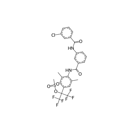 Cc1cc(C(OS(C)(=O)=O)(C(F)(F)F)C(F)(F)F)cc(C)c1NC(=O)c1cccc(NC(=O)c2cccc(Cl)c2)c1